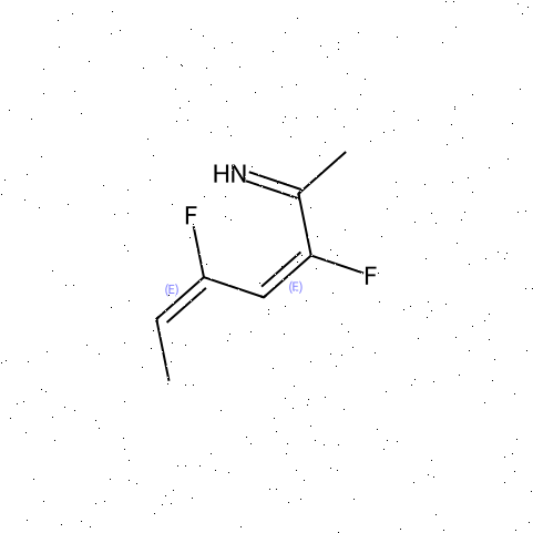 C/C=C(F)\C=C(\F)C(C)=N